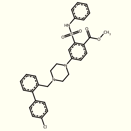 COC(=O)c1ccc(N2CCN(Cc3ccccc3-c3ccc(Cl)cc3)CC2)cc1S(=O)(=O)Nc1ccccc1